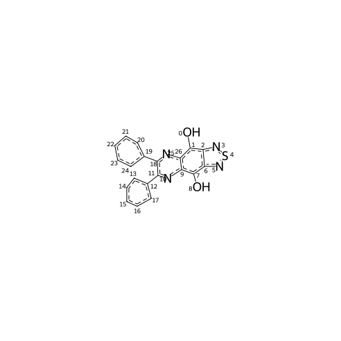 Oc1c2nsnc2c(O)c2nc(-c3ccccc3)c(-c3ccccc3)nc12